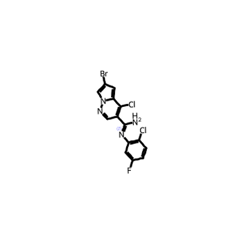 N/C(=N\c1cc(F)ccc1Cl)c1cnn2cc(Br)cc2c1Cl